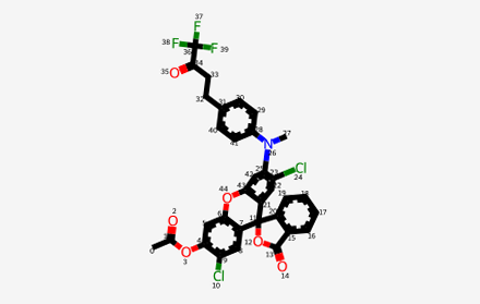 CC(=O)Oc1cc2c(cc1Cl)C1(OC(=O)c3ccccc31)c1cc(Cl)c(N(C)c3ccc(CCC(=O)C(F)(F)F)cc3)cc1O2